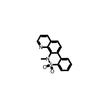 CN1c2c(ccc3cccnc23)-c2ccccc2S1(=O)=O